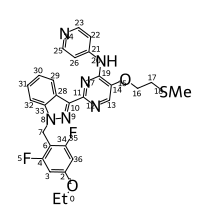 CCOc1cc(F)c(Cn2nc(-c3ncc(OCCSC)c(Nc4ccncc4)n3)c3ccccc32)c(F)c1